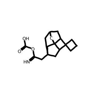 N=C(CC12CC3CC4C5(CCC5)C(C1)C4(C3)C2)OC(=O)O